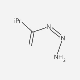 C=C(/N=N\N)C(C)C